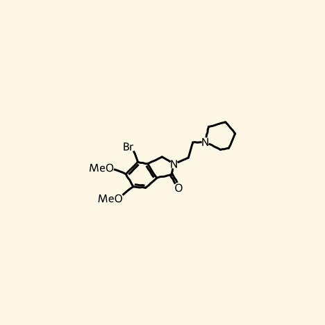 COc1cc2c(c(Br)c1OC)CN(CCN1CCCCC1)C2=O